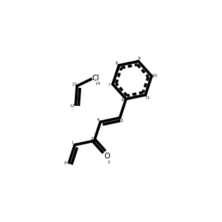 C=CC(=O)C=Cc1ccccc1.C=CCl